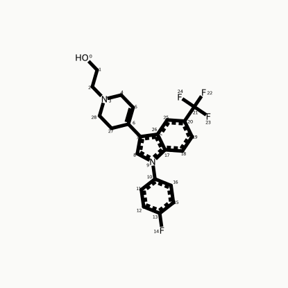 OCCN1CC=C(c2cn(-c3ccc(F)cc3)c3ccc(C(F)(F)F)cc23)CC1